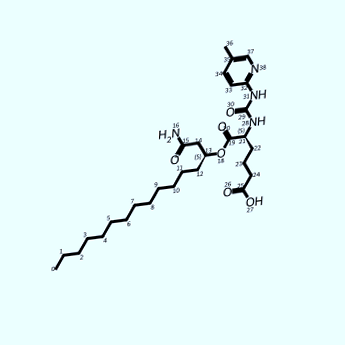 CCCCCCCCCCCCC[C@@H](CC(N)=O)OC(=O)[C@H](CCCC(=O)O)NC(=O)Nc1ccc(C)cn1